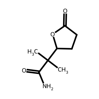 CC(C)(C(N)=O)C1CCC(=O)O1